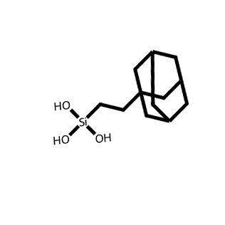 O[Si](O)(O)CCC12CC3CC(CC(C3)C1)C2